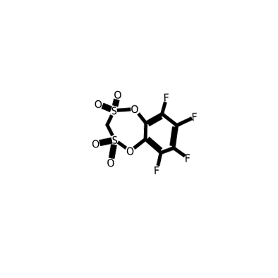 O=S1(=O)CS(=O)(=O)Oc2c(F)c(F)c(F)c(F)c2O1